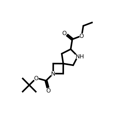 CCOC(=O)C1CC2(CN1)CN(C(=O)OC(C)(C)C)C2